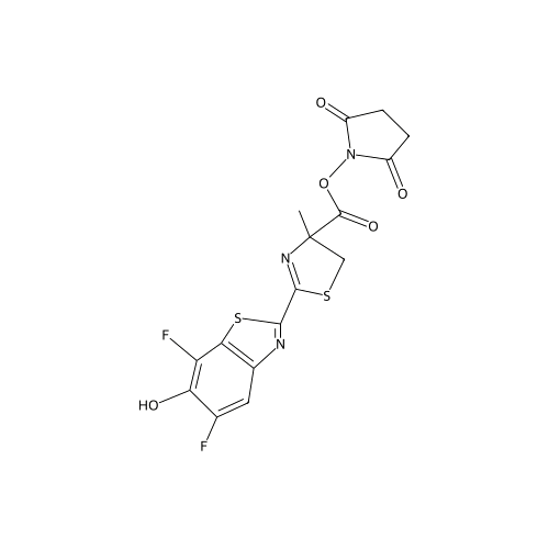 CC1(C(=O)ON2C(=O)CCC2=O)CSC(c2nc3cc(F)c(O)c(F)c3s2)=N1